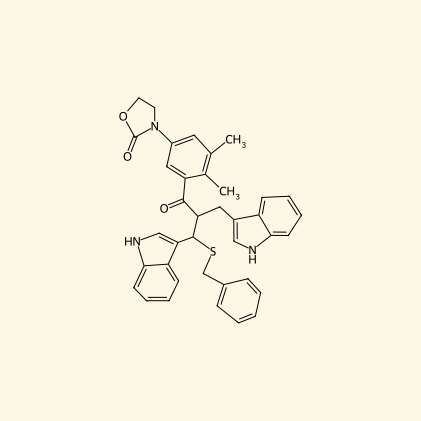 Cc1cc(N2CCOC2=O)cc(C(=O)C(Cc2c[nH]c3ccccc23)C(SCc2ccccc2)c2c[nH]c3ccccc23)c1C